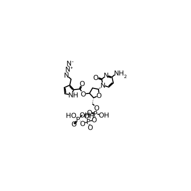 [N-]=[N+]=NCc1cc[nH]c1C(=O)OC1C[C@H](n2ccc(N)nc2=O)O[C@@H]1COP(=O)(O)OP(=O)(O)OP(=O)(O)O